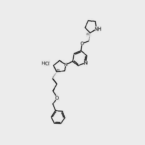 Cl.c1ccc(COCCC[C@@H]2CCN(c3cncc(OC[C@@H]4CCCN4)c3)C2)cc1